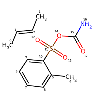 CC=CC.Cc1ccccc1S(=O)(=O)OC(N)=O